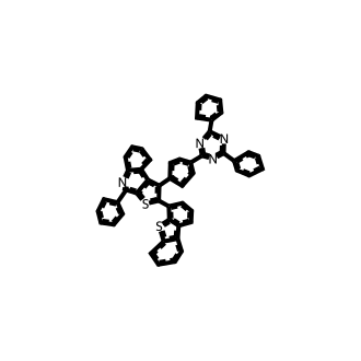 c1ccc(-c2nc(-c3ccccc3)nc(-c3ccc(-c4c(-c5cccc6c5sc5ccccc56)sc5c(-c6ccccc6)nc6ccccc6c45)cc3)n2)cc1